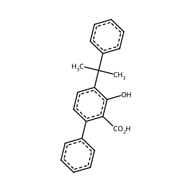 CC(C)(c1ccccc1)c1ccc(-c2ccccc2)c(C(=O)O)c1O